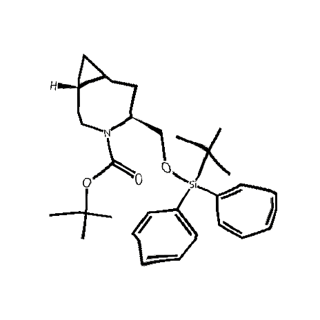 CC(C)(C)OC(=O)N1C[C@@H]2CC2C[C@H]1CO[Si](c1ccccc1)(c1ccccc1)C(C)(C)C